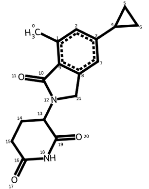 Cc1cc(C2CC2)cc2c1C(=O)N(C1CCC(=O)NC1=O)C2